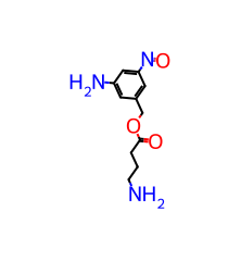 NCCCC(=O)OCc1cc(N)cc(N=O)c1